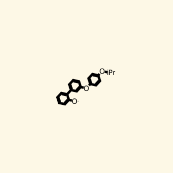 CC(C)Oc1ccc(Oc2cccc(-c3ccccc3[O])c2)cc1